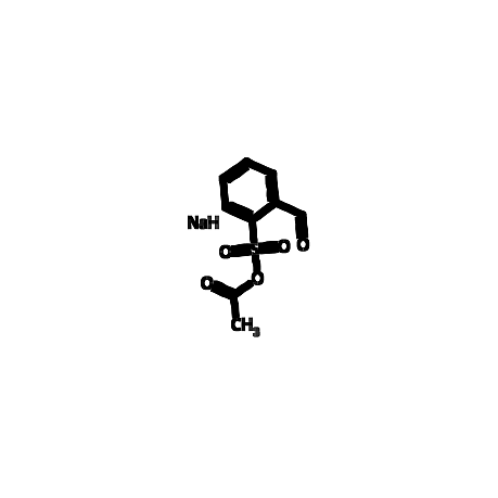 CC(=O)OS(=O)(=O)c1ccccc1C=O.[NaH]